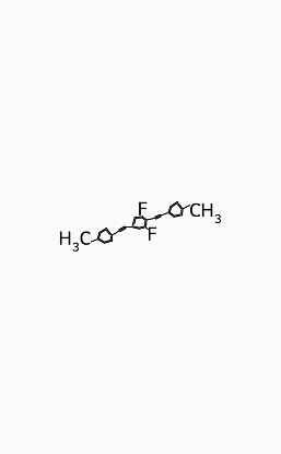 CCc1ccc(C#Cc2cc(F)c(C#Cc3ccc(CC)cc3)c(F)c2)cc1